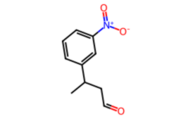 CC(CC=O)c1cccc([N+](=O)[O-])c1